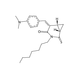 CCCCCCCN1C(=O)/C(=C\c2ccc(N(C)C)cc2)[C@@H]2C[C@@H]2C1=S